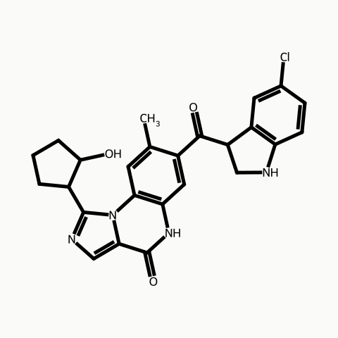 Cc1cc2c(cc1C(=O)C1CNc3ccc(Cl)cc31)[nH]c(=O)c1cnc(C3CCCC3O)n12